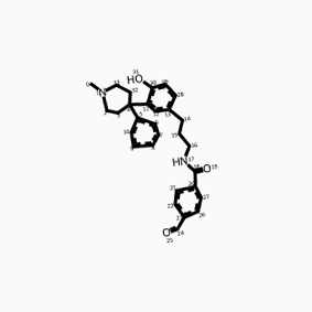 CN1CCC(c2ccccc2)(c2cc(CCCNC(=O)c3ccc(C=O)cc3)ccc2O)CC1